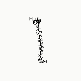 COC(=O)CCCCCCCCCCCCCCCCCCCCO